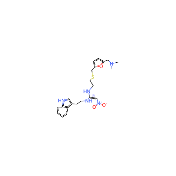 CN(C)Cc1ccc(CSCCN/C(=C/[N+](=O)[O-])NCCc2c[nH]c3ccccc23)o1